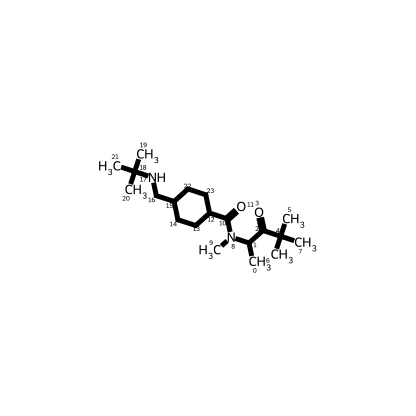 CC(C(=O)C(C)(C)C)N(C)C(=O)C1CCC(CNC(C)(C)C)CC1